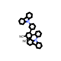 N#Cc1cc(-c2cccc(-n3c4ccccc4c4ccccc43)c2)c(-c2ccccc2-n2c3ccccc3c3ccccc32)cc1C#N